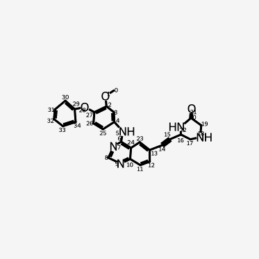 COc1cc(Nc2ncnc3ccc(C#CC4CNCC(=O)N4)cc23)ccc1Oc1ccccc1